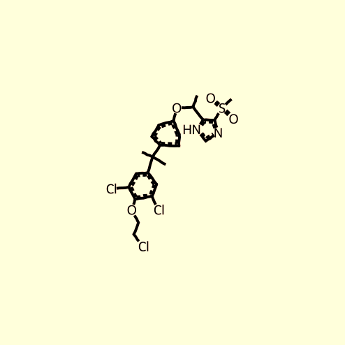 CC(Oc1ccc(C(C)(C)c2cc(Cl)c(OCCCl)c(Cl)c2)cc1)c1[nH]cnc1S(C)(=O)=O